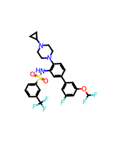 O=S(=O)(Nc1cc(-c2cc(F)cc(OC(F)F)c2)ccc1N1CCN(C2CC2)CC1)c1cccc(C(F)(F)F)c1